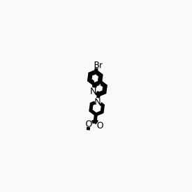 COC(=O)C1CCN(c2ccc3cc(Br)ccc3n2)CC1